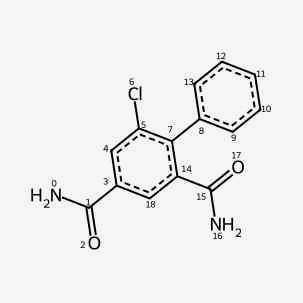 NC(=O)c1cc(Cl)c(-c2ccccc2)c(C(N)=O)c1